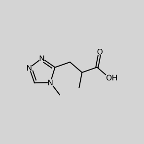 CC(Cc1nncn1C)C(=O)O